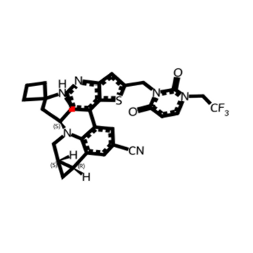 N#Cc1cc(-c2ccnc3cc(Cn4c(=O)ccn(CC(F)(F)F)c4=O)sc23)c2c(c1)[C@@H]1C[C@@H]1CN2[C@@H]1CNC2(CCC2)C1